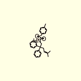 CC(C)=CCC(CNS(=O)(=O)c1ccc(C)cc1)(c1ccccc1)c1ccccc1